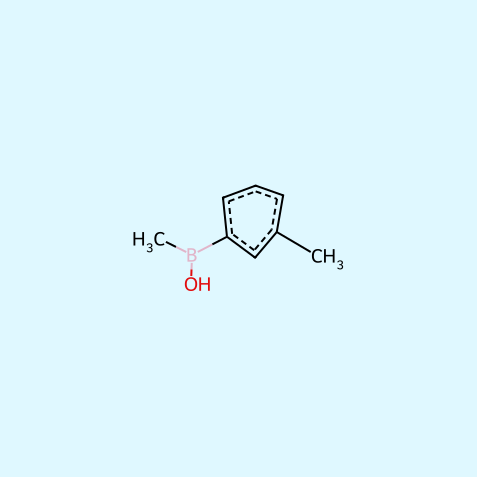 CB(O)c1cccc(C)c1